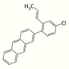 CC=Cc1cc(Cl)ccc1-c1ccc2cc3ccccc3cc2c1